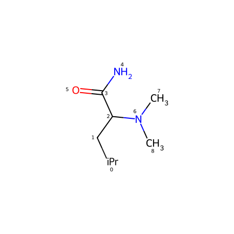 CC(C)CC(C(N)=O)N(C)C